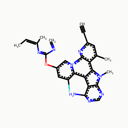 C#Cc1cc(C)c2c3c(c4c(N)ncnc4n3C)c3c(F)cc(O/C(N=C)=N/C(C)=C\C)c[n+]3c2n1